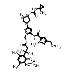 Cc1cc(C)c(C(C)(C)CC(=O)OCn2nc([C@H]3C[C@@H](F)[C@@H](OC(=O)NC4(C)CC4)C3)cc2NC(=O)c2cc(COC(F)(F)F)nn2C)c(OP(=O)(O)O)c1